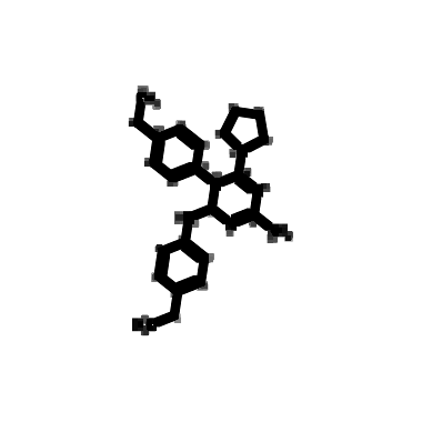 CCc1ccc(NC2N=C(N)N=C(N3CCCC3)N2c2ccc(CC)cc2)cc1